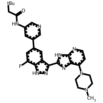 CN1CCN(c2ccnc3[nH]c(-c4n[nH]c5c(F)cc(-c6cncc(NC(=O)CC(C)(C)C)c6)cc45)nc23)CC1